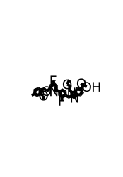 COCCn1c(Cc2ccc(-c3cc(F)cc(OCc4ccc(C)cc4OC)n3)cc2F)nc2ccc(C(=O)O)cc21